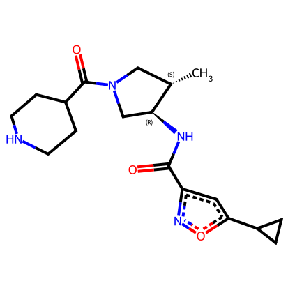 C[C@H]1CN(C(=O)C2CCNCC2)C[C@@H]1NC(=O)c1cc(C2CC2)on1